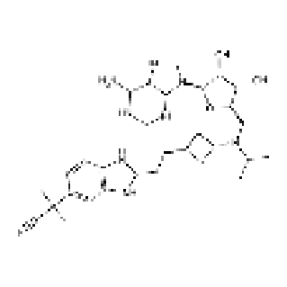 CC(C)N(C[C@H]1O[C@@H](N2CNC3C(N)NCNC32)[C@H](O)[C@@H]1O)[C@H]1C[C@H](CCC2Nc3ccc(C(C)(C)C#N)cc3N2)C1